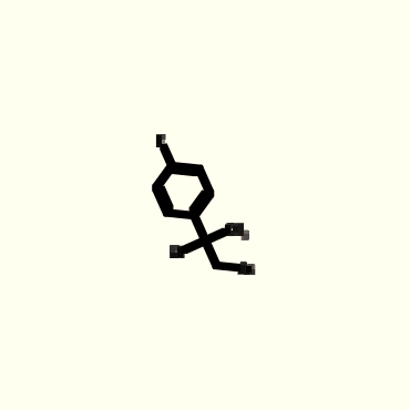 CCC(C)(CC(C)=O)c1ccc(F)cc1